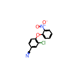 N#Cc1ccc(Oc2ccccc2[N+](=O)[O-])c(Cl)c1